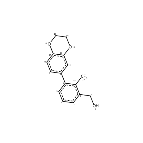 OCc1cccc(-c2ccc3c(c2)OCCO3)c1C(F)(F)F